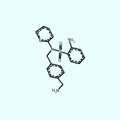 NCc1ccc(CN(c2ccccn2)S(=O)(=O)c2ccccc2[N+](=O)[O-])cc1